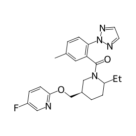 CCC1CC[C@@H](COc2ccc(F)cn2)CN1C(=O)c1cc(C)ccc1-n1nccn1